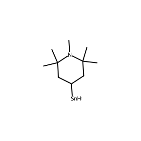 CN1C(C)(C)C[CH]([SnH])CC1(C)C